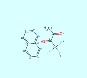 CC(=O)C(=O)C(F)(F)F.c1ccc2ccccc2c1